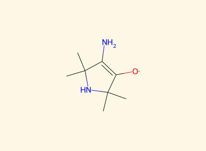 CC1(C)NC(C)(C)C([O])=C1N